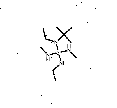 CCN[Si](NC)(NC)N(CC)C(C)(C)C